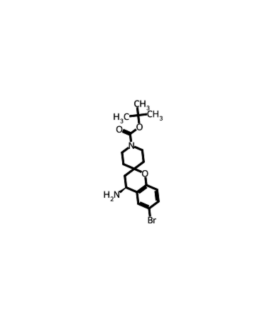 CC(C)(C)OC(=O)N1CCC2(CC1)C[C@H](N)c1cc(Br)ccc1O2